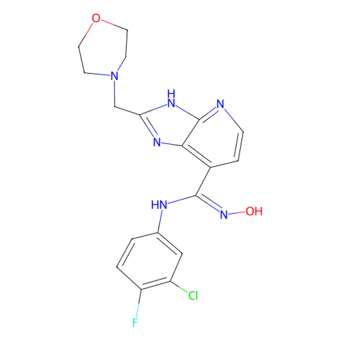 O/N=C(/Nc1ccc(F)c(Cl)c1)c1ccnc2[nH]c(CN3CCOCC3)nc12